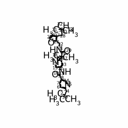 CC(C)(C)Cc1ccc(C(=O)Nc2cnn(C(C)(C)C(=O)NCc3occc3CC(C)(C)C)c2)cn1